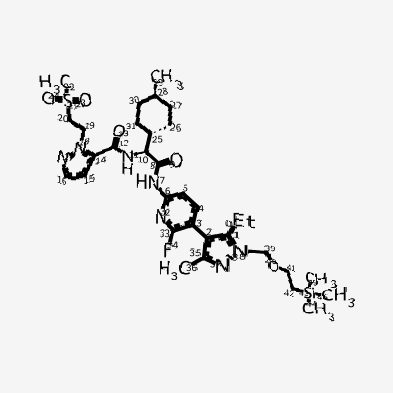 CCc1c(-c2ccc(NC(=O)[C@@H](NC(=O)c3ccnn3CCS(C)(=O)=O)[C@H]3CC[C@H](C)CC3)nc2F)c(C)nn1COCC[Si](C)(C)C